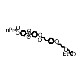 CCCC(=O)Oc1ccc(S(=O)(=O)c2ccc(OC(=O)CCc3ccc(OCCCCOCC4(CC)COC4)cc3)cc2)cc1